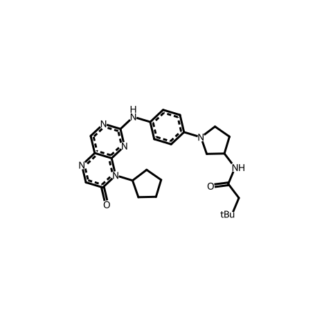 CC(C)(C)CC(=O)NC1CCN(c2ccc(Nc3ncc4ncc(=O)n(C5CCCC5)c4n3)cc2)C1